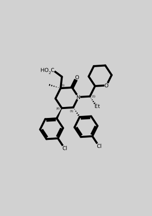 CC[C@@H](C1CCCCO1)N1C(=O)[C@](C)(CC(=O)O)C[C@H](c2cccc(Cl)c2)[C@H]1c1ccc(Cl)cc1